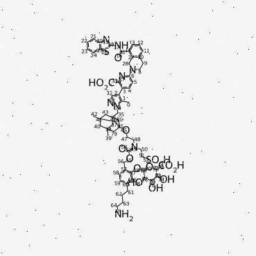 Cc1c(-c2ccc(N3CCc4cccc(C(=O)Nc5nc6ccccc6s5)c4C3)nc2C(=O)O)cnn1CC12CC3(C)CC(C)(C1)CC(OCCN(CCS(=O)(=O)O)C(=O)OCc1ccc(CCCCN)cc1O[C@@H]1O[C@H](C(=O)O)[C@@H](O)[C@H](O)[C@H]1O)(C3)C2